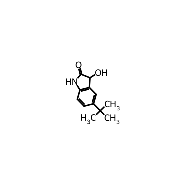 CC(C)(C)c1ccc2c(c1)C(O)C(=O)N2